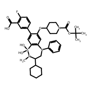 CN1C(C2CCCCC2)CN(c2ccccc2)c2cc(OC3CCN(C(=O)OC(C)(C)C)CC3)c(-c3ccc(F)c(C(=O)O)c3)cc2S1(O)O